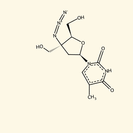 Cc1cn([C@H]2C[C@@](CO)(N=[N+]=[N-])[C@@H](CO)O2)c(=O)[nH]c1=O